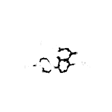 COc1ccc(N2CCN(C)CC2)c2oc(C(=O)O)cc(=O)c12